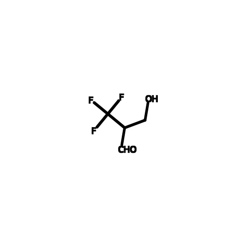 O=CC(CO)C(F)(F)F